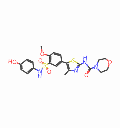 COc1ccc(-c2sc(NC(=O)N3CCOCC3)nc2C)cc1S(=O)(=O)Nc1ccc(O)cc1